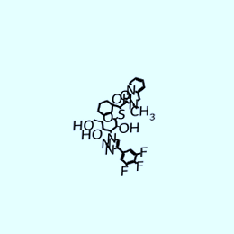 CN(Cc1ccccn1)C(=O)C(S[C@@H]1O[C@H](CO)[C@H](O)[C@H](n2cc(-c3cc(F)c(F)c(F)c3)nn2)[C@H]1O)C1(O)CCCCC1